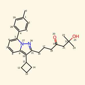 Cc1ccc(-c2cccc3c(C4CCC4)c(CCCC(=O)CC(C)(C)O)nn23)cc1